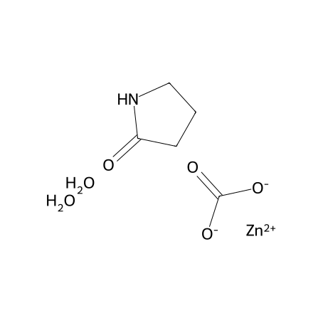 O.O.O=C([O-])[O-].O=C1CCCN1.[Zn+2]